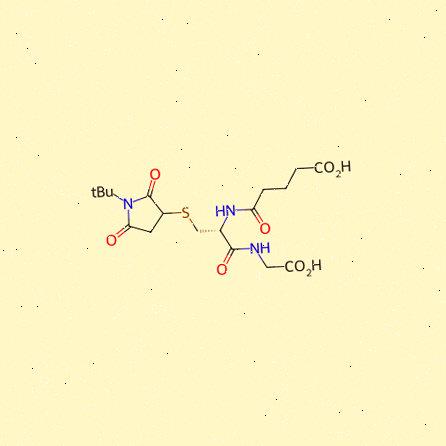 CC(C)(C)N1C(=O)CC(SC[C@H](NC(=O)CCCC(=O)O)C(=O)NCC(=O)O)C1=O